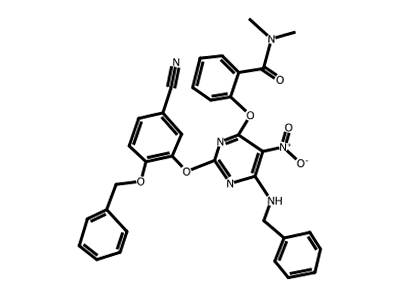 CN(C)C(=O)c1ccccc1Oc1nc(Oc2cc(C#N)ccc2OCc2ccccc2)nc(NCc2ccccc2)c1[N+](=O)[O-]